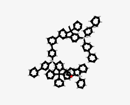 CC1(c2ccccc2)c2ccc(-c3cccc(-c4ccc(N(c5ccc(-c6ccccc6)cc5)c5ccc(-c6ccc7c(c6)c6ccccc6n7-c6ccccc6)c6c5-c5ccccc5C6(c5ccccc5)c5ccccc5)cc4)c3)cc2-c2ccc(N(c3ccc(-c4ccccc4)cc3)c3ccc(-c4ccccc4)cc3)cc21